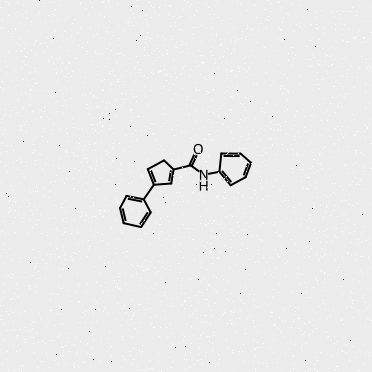 O=C(Nc1ccccc1)C1=CC(c2ccccc2)=CC1